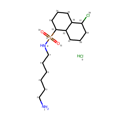 Cl.NCCCCCCNS(=O)(=O)C1CCCC2C(Cl)CCCC21